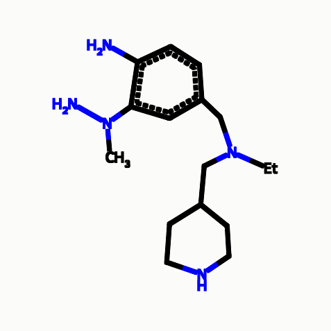 CCN(Cc1ccc(N)c(N(C)N)c1)CC1CCNCC1